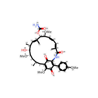 COC1=C2C[C@@H](C)C[C@H](OC)[C@H](O)[C@@H](C)/C=C(\C)[C@H](OC(N)=O)[C@@H](OC)/C=C\C=C(/C)C(=O)NC(=C(c3ccc(OC)cc3)C1=O)C2=O